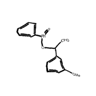 COc1cccc(C(C=O)O[PH](=O)c2ccccc2)c1